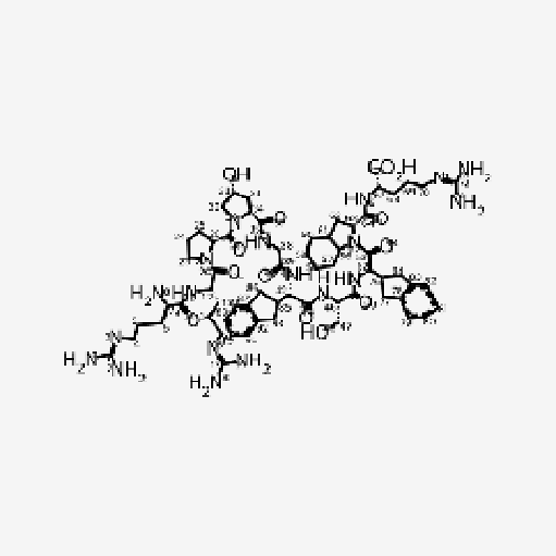 NC(N)=NCCC[C@@H](N)C(=O)N[C@@H](CCCN=C(N)N)C(=O)N1CCC[C@H]1C(=O)N1C[C@H](O)C[C@H]1C(=O)NCC(=O)N[C@H](C(=O)N[C@@H](CO)C(=O)N[C@@H](C(=O)N1C2CCCCC2C[C@H]1C(=O)N[C@@H](CCCN=C(N)N)C(=O)O)C1Cc2ccccc2C1)C1Cc2ccccc2C1